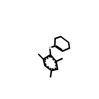 Cc1cc(C)c([I+]C2=CCCCC2)c(C)c1